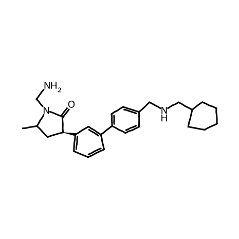 CC1C[C@H](c2cccc(-c3ccc(CNCC4CCCCC4)cc3)c2)C(=O)N1CN